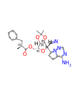 C[C@@H](Cc1ccccc1)C(=O)OC[C@H]1O[C@@](C#N)(c2ccc3c(N)ncnn23)[C@@H]2OC(C)(C)O[C@@H]21